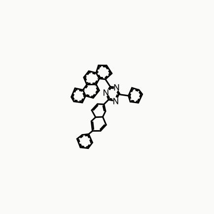 C1=CC2C=C(c3nc(-c4ccccc4)nc(-c4cccc5ccc6c7ccccc7ccc6c45)n3)C=CC2C=C1c1ccccc1